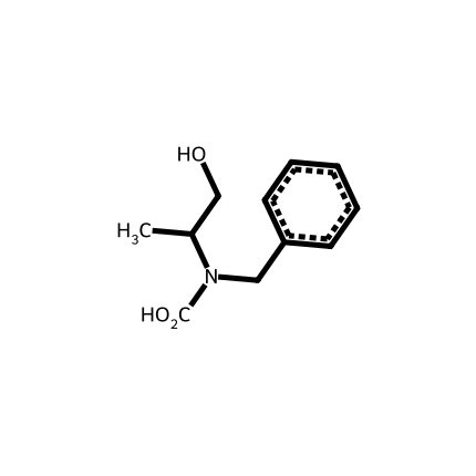 CC(CO)N(Cc1ccccc1)C(=O)O